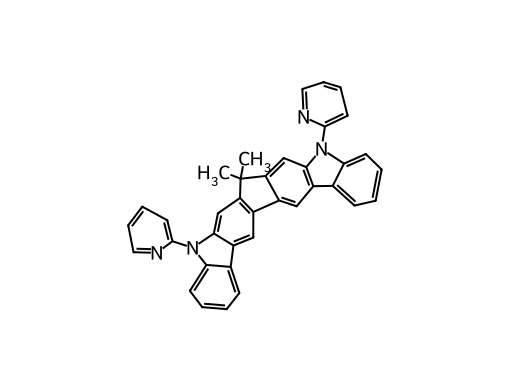 CC1(C)c2cc3c(cc2-c2cc4c5ccccc5n(-c5ccccn5)c4cc21)c1ccccc1n3-c1ccccn1